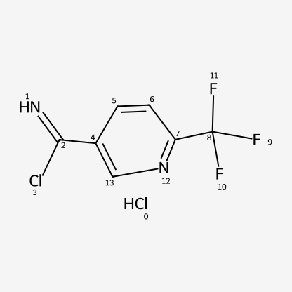 Cl.N=C(Cl)c1ccc(C(F)(F)F)nc1